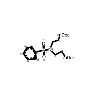 CCCCCCCCCCCCN(CCCCCCCCCCCC)S(=O)(=O)c1ccccc1